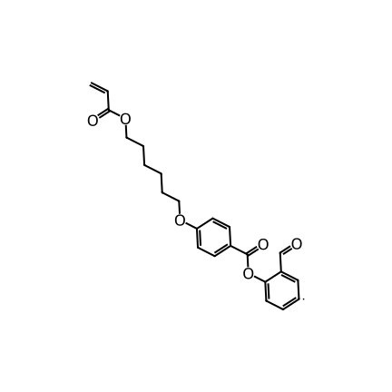 C=CC(=O)OCCCCCCOc1ccc(C(=O)Oc2cc[c]cc2C=O)cc1